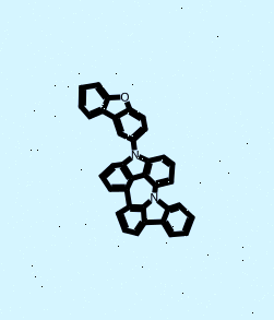 c1ccc2c(c1)oc1ccc(-n3c4cccc5c6cccc7c8ccccc8n(c8cccc3c8c54)c67)cc12